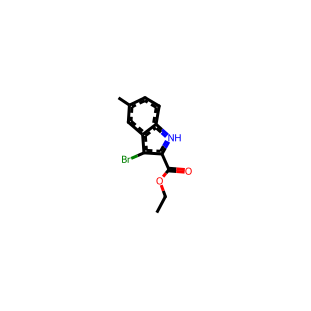 CCOC(=O)c1[nH]c2ccc(C)cc2c1Br